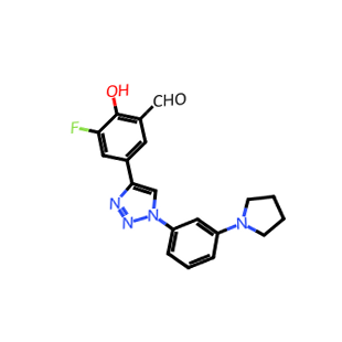 O=Cc1cc(-c2cn(-c3cccc(N4CCCC4)c3)nn2)cc(F)c1O